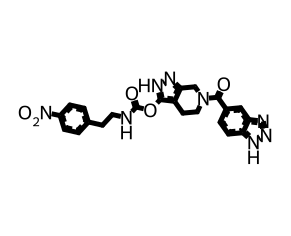 O=C(NCCc1ccc([N+](=O)[O-])cc1)Oc1[nH]nc2c1CCN(C(=O)c1ccc3[nH]nnc3c1)C2